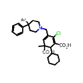 CC(=O)C1(c2ccccc2)CCN(CC2=CC(C)(C(=O)O)C(C3CCCCC3)C(C(=O)O)=C2Cl)CC1